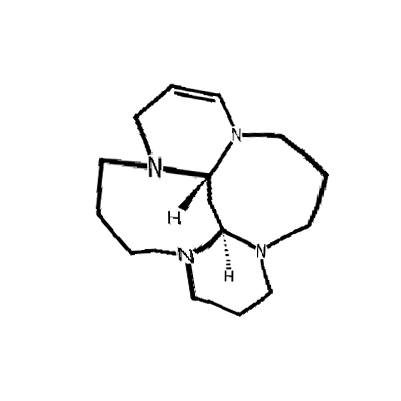 C1=CN2CCCN3CCCN4CCCN(C1)[C@H]2[C@@H]34